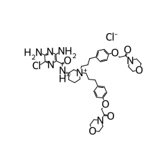 Nc1nc(N)c(C(=O)N[C@H]2CCC[N+](CCCc3ccc(OCC(=O)N4CCOCC4)cc3)(CCCc3ccc(OCC(=O)N4CCOCC4)cc3)C2)nc1Cl.[Cl-]